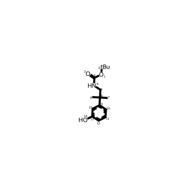 CC(C)(C)OC(=O)NCC(C)(C)c1cccc(O)c1